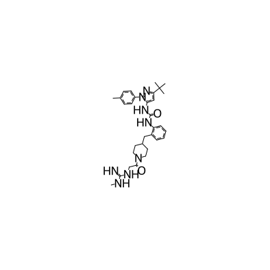 CNC(=N)NCC(=O)N1CCC(Cc2ccccc2NC(=O)Nc2cc(C(C)(C)C)nn2-c2ccc(C)cc2)CC1